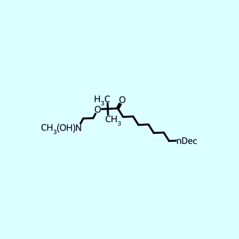 CCCCCCCCCCCCCCCCCC(=O)C(C)(C)OCCN(C)O